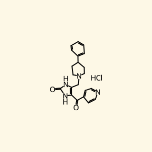 Cl.O=C(c1ccncc1)c1[nH]c(=O)[nH]c1CN1CCC(c2ccccc2)CC1